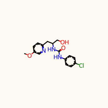 COc1ccc(CC(CO)NC(=O)Nc2ccc(Cl)cc2)nc1